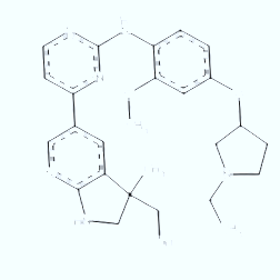 CCN1CCC(Oc2ccc(Nc3nccc(-c4cnc5c(c4)C(C)(CO)CN5)n3)c(OC)c2)C1